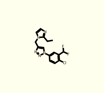 CCc1nccn1Cc1cn(-c2ccc(Cl)c(C(F)F)c2)nn1